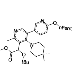 CCCCCOc1ccc(-c2cnc(C)c(C(OC(C)(C)C)C(=O)OC(C)C)c2N2CCC(C)(C)CC2)cn1